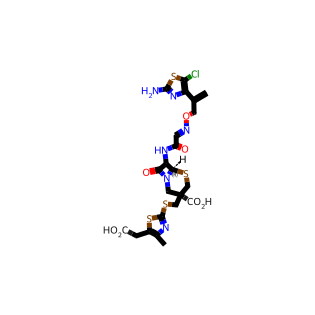 C=C(CON=CC(=O)NC1C(=O)N2CC(CSc3nc(C)c(CC(=O)O)s3)(C(=O)O)CS[C@H]12)c1nc(N)sc1Cl